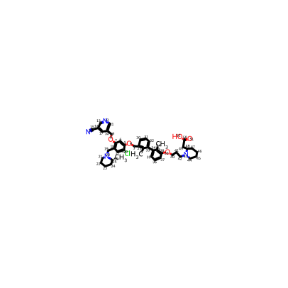 Cc1c(COc2cc(OCc3cncc(C#N)c3)c(CN3CCCC[C@H]3C)cc2Cl)cccc1-c1cccc(OCCCN2CCCCC2CC(=O)O)c1C